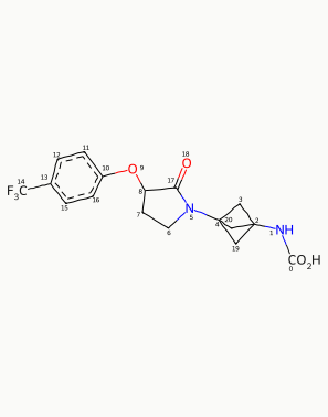 O=C(O)NC12CC(N3CCC(Oc4ccc(C(F)(F)F)cc4)C3=O)(C1)C2